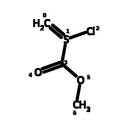 C=S(Cl)C(=O)OC